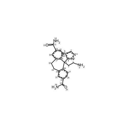 NCCC1(c2nnc[nH]2)c2ccc(C(N)=O)cc2CCc2cc(C(N)=O)ccc21